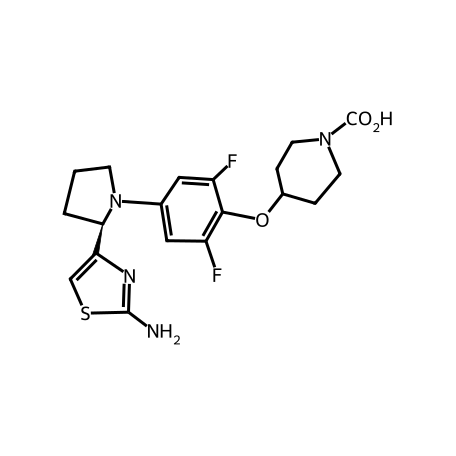 Nc1nc([C@H]2CCCN2c2cc(F)c(OC3CCN(C(=O)O)CC3)c(F)c2)cs1